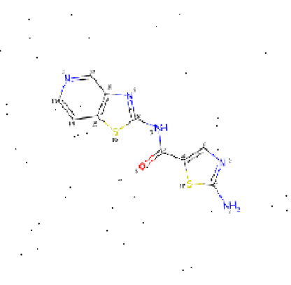 Nc1ncc(C(=O)Nc2nc3cnccc3s2)s1